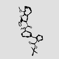 COc1cccc2cc(C(=O)Nc3cccc(-c4cccn4C(=O)OC(C)(C)C)c3)c(=O)oc12